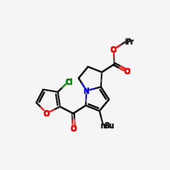 CCCCc1cc2n(c1C(=O)c1occc1Cl)CCC2C(=O)OC(C)C